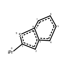 [CH2]C(C)c1cc2ccccc2s1